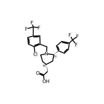 O=C(O)C[C@@H]1CCN(Cc2cc(C(F)(F)F)ccc2Cl)[C@H](c2ccc(C(F)(F)F)cc2)C1